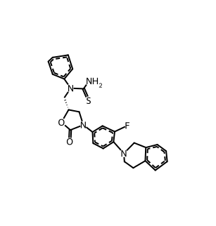 NC(=S)N(C[C@@H]1CN(c2ccc(N3CCc4ccccc4C3)c(F)c2)C(=O)O1)c1ccccc1